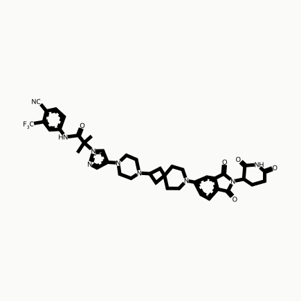 CC(C)(C(=O)Nc1ccc(C#N)c(C(F)(F)F)c1)n1cc(N2CCN(C3CC4(CCN(c5ccc6c(c5)C(=O)N(C5CCC(=O)NC5=O)C6=O)CC4)C3)CC2)cn1